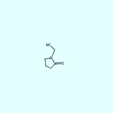 N#CCN1CCCC1=O